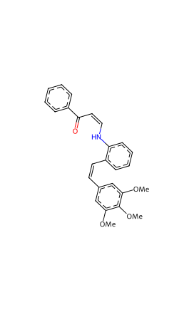 COc1cc(/C=C\c2ccccc2N/C=C\C(=O)c2ccccc2)cc(OC)c1OC